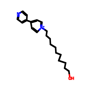 OCCCCCCCCCCC[n+]1ccc(-c2ccncc2)cc1